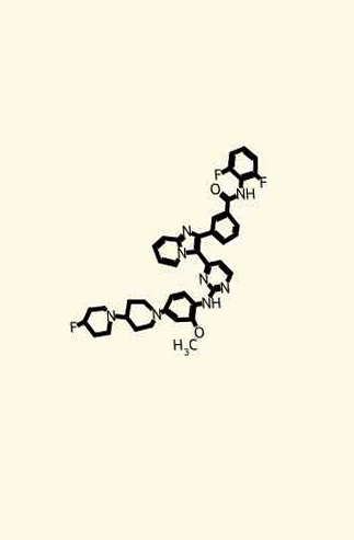 COc1cc(N2CCC(N3CCC(F)CC3)CC2)ccc1Nc1nccc(-c2c(-c3cccc(C(=O)Nc4c(F)cccc4F)c3)nc3ccccn23)n1